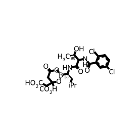 CC(C)C[C@H](NC(=O)C(NC(=O)c1cc(Cl)ccc1Cl)[C@@H](C)O)B1OC(=O)CC(CC(=O)O)(C(=O)O)O1